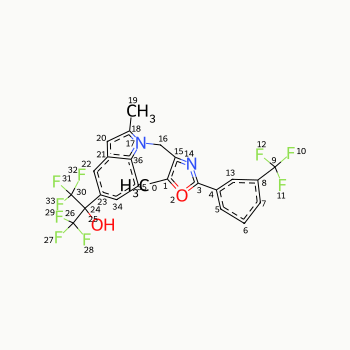 Cc1oc(-c2cccc(C(F)(F)F)c2)nc1Cn1c(C)cc2cc(C(O)(C(F)(F)F)C(F)(F)F)ccc21